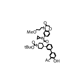 COCCCN1C(=O)COc2ccc(N(C(=O)[C@H]3CN(C(=O)OC(C)(C)C)CC[C@@H]3c3cccc(-c4ccc(O)c(C(C)=O)c4)c3)C3CC3)cc21